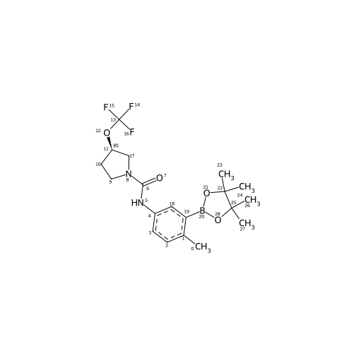 Cc1ccc(NC(=O)N2CC[C@@H](OC(F)(F)F)C2)cc1B1OC(C)(C)C(C)(C)O1